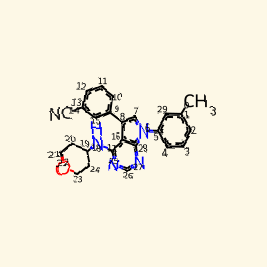 Cc1cccc(-n2cc(-c3cccc(C#N)c3)c3c(NC4CCOCC4)ncnc32)c1